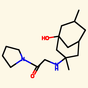 CC1CC2CC(O)(C1)CC(C)(NCC(=O)N1CCCC1)C2